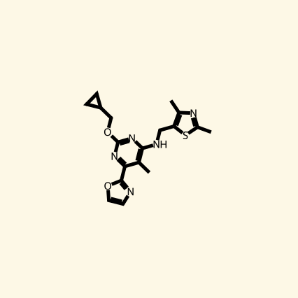 Cc1nc(C)c(CNc2nc(OCC3CC3)nc(-c3ncco3)c2C)s1